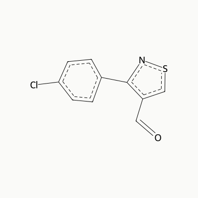 O=Cc1csnc1-c1ccc(Cl)cc1